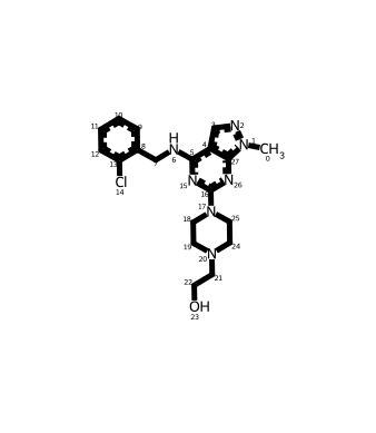 Cn1ncc2c(NCc3ccccc3Cl)nc(N3CCN(CCO)CC3)nc21